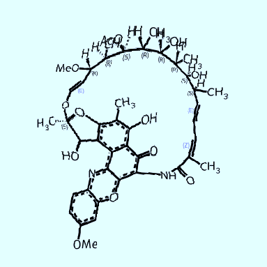 COc1ccc2nc3c4c5c6c(C)c(O)c4c(=O)c(c-3oc2c1)NC(=O)/C(C)=C\C=C\[C@H](C)[C@H](O)[C@@H](C)[C@@H](O)[C@@H](C)[C@H](OC(C)=O)[C@H](C)[C@@H](OC)/C=C/O[C@@](C)(O6)C5O